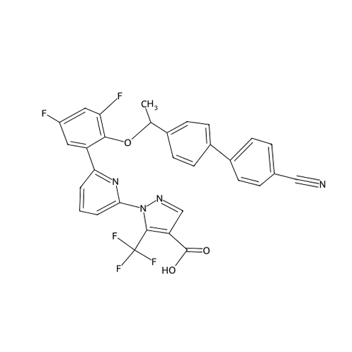 CC(Oc1c(F)cc(F)cc1-c1cccc(-n2ncc(C(=O)O)c2C(F)(F)F)n1)c1ccc(-c2ccc(C#N)cc2)cc1